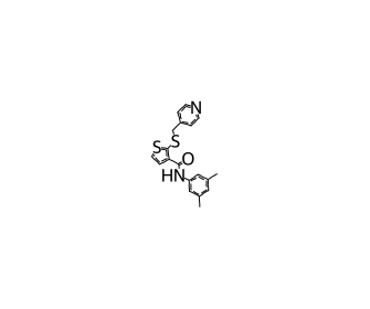 Cc1cc(C)cc(NC(=O)c2ccsc2SCc2ccncc2)c1